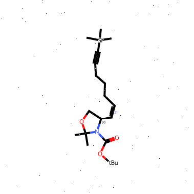 CC(C)(C)OC(=O)N1[C@H](/C=C\CCCC#C[Si](C)(C)C)COC1(C)C